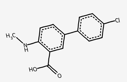 CNc1ccc(-c2ccc(Cl)cc2)cc1C(=O)O